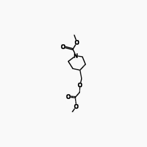 COC(=O)COCC1CCN(C(=O)OC)CC1